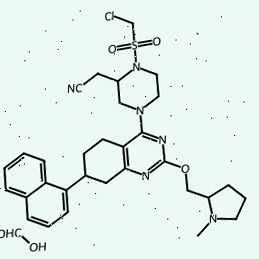 CN1CCCC1COc1nc2c(c(N3CCN(S(=O)(=O)CCl)C(CC#N)C3)n1)CCC(c1cccc3ccccc13)C2.O=CO